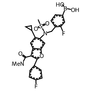 CNC(=O)c1c(-c2ccc(F)cc2)oc2cc(N(Cc3ccc(B(O)O)cc3F)S(C)(=O)=O)c(C3CC3)cc12